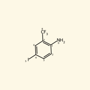 Nc1ccc(I)cc1C(F)(F)F